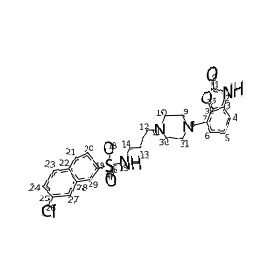 O=c1[nH]c2cccc(N3CCN(CCCNS(=O)(=O)c4ccc5ccc(Cl)cc5c4)CC3)c2o1